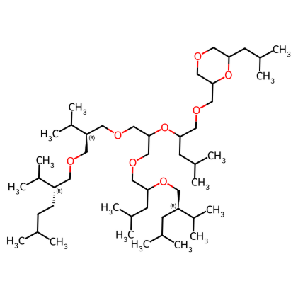 CC(C)CC[C@@H](COC[C@H](COCC(COCC(CC(C)C)OC[C@H](CC(C)C)C(C)C)OC(COCC1COCC(CC(C)C)O1)CC(C)C)C(C)C)C(C)C